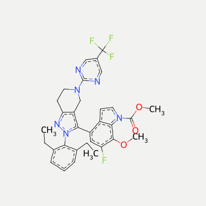 CCc1cccc(CC)c1-n1nc2c(c1-c1cc(F)c(OC)c3c1ccn3C(=O)OC)CN(c1ncc(C(F)(F)F)cn1)CC2